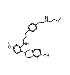 CCCCNCCc1ccc(CCCNc2cc(OC)ccc2[C@@H]2CCc3cc(O)ccc3C2)cc1